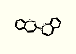 C1=CCC2=CC=CN(C3=NOc4ccccc4C=C3)OC2=C1